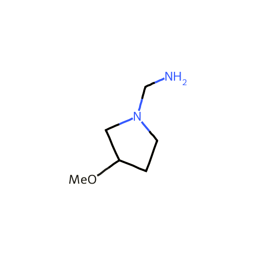 COC1CCN(CN)C1